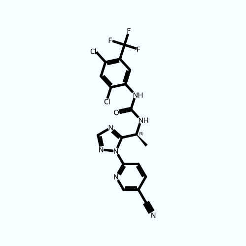 C[C@H](NC(=O)Nc1cc(C(F)(F)F)c(Cl)cc1Cl)c1ncnn1-c1ccc(C#N)cn1